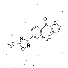 Cc1ccsc1C(=O)c1ccc(-c2noc(C(F)(F)F)n2)cc1